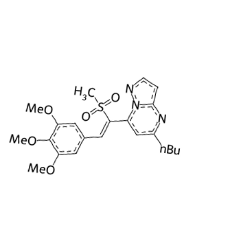 CCCCc1cc(C(=Cc2cc(OC)c(OC)c(OC)c2)S(C)(=O)=O)n2nccc2n1